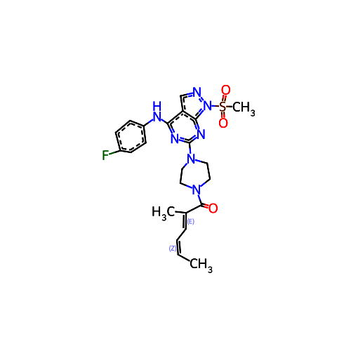 C/C=C\C=C(/C)C(=O)N1CCN(c2nc(Nc3ccc(F)cc3)c3cnn(S(C)(=O)=O)c3n2)CC1